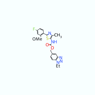 CCn1nnc2cc(COC(=O)Nc3sc(-c4ccc(F)cc4OC)nc3C)ccc21